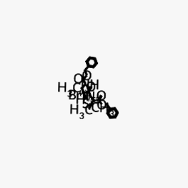 CC(NC(=O)OCc1ccccc1)[C@@]1(Br)C(=O)N2[C@@H](C(=O)OCc3ccccc3)C(C)(C)S[C@@H]21